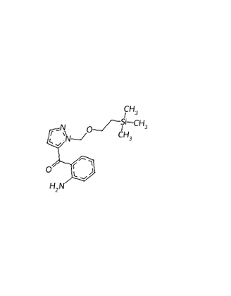 C[Si](C)(C)CCOCn1nccc1C(=O)c1ccccc1N